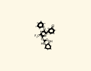 O=C(N[C@@H]1CCCC[C@H]1O)Oc1nc(-c2cccc(Cl)c2)c(Oc2ccccc2)nc1C(F)(F)F